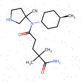 CC(C)(C[CH]C(=O)N([C@H]1CC[C@H](C)CC1)C1(C#N)CCNC1)C(N)=O